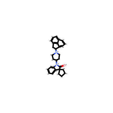 O=C1N(C2CCN(C3Cc4cccc5cccc3c45)CC2)c2ccccc2C12CCCC2